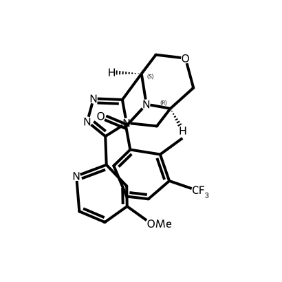 COc1ccnc(-c2nnc3n2C[C@@H]2COC[C@H]3N2C(=O)c2cccc(C(F)(F)F)c2C)c1